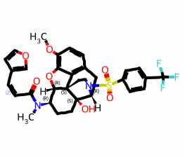 COc1ccc2c3c1O[C@H]1[C@H](N(C)C(=O)/C=C\c4ccoc4)CC[C@@]4(O)[C@@H](C2)N(S(=O)(=O)c2ccc(C(F)(F)F)cc2)CC[C@]314